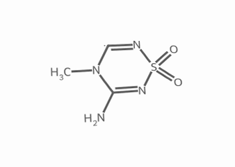 CN1[C]=NS(=O)(=O)N=C1N